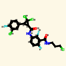 O=C(NCCCCl)c1c(F)ccc(NC(=O)C2C(c3ccc(F)c(Cl)c3)C2(Cl)Cl)c1F